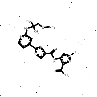 COCC(C)(C)Nc1cc(-c2nc(C(=O)Nc3cn(C)nc3C(N)=O)co2)ccn1